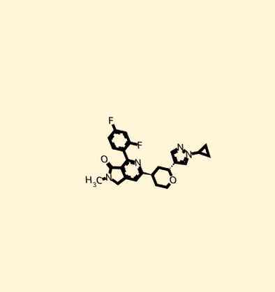 CN1Cc2cc([C@@H]3CCO[C@@H](c4cnn(C5CC5)c4)C3)nc(-c3ccc(F)cc3F)c2C1=O